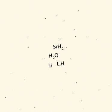 O.[LiH].[SrH2].[Ti]